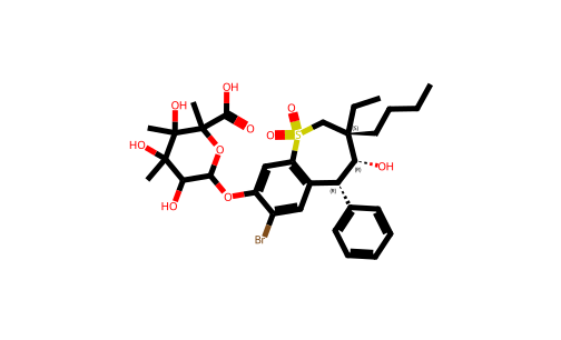 CCCC[C@]1(CC)CS(=O)(=O)c2cc(OC3OC(C)(C(=O)O)C(C)(O)C(C)(O)C3O)c(Br)cc2[C@@H](c2ccccc2)[C@H]1O